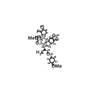 COC(=O)C1(Nc2cccc(Cl)c2F)CCC2(CC1)c1cc3c(cc1CC2C[C@@H](C)COCc1ccc(OC)cc1)OCO3